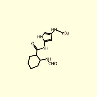 CCCCNc1c[nH]c(NC(=O)C2CCCCC2NC=O)c1